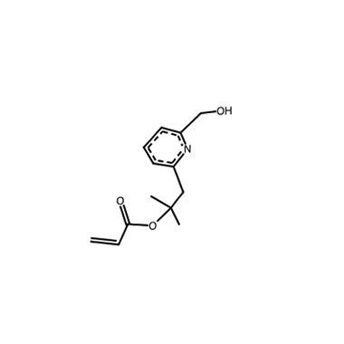 C=CC(=O)OC(C)(C)Cc1cccc(CO)n1